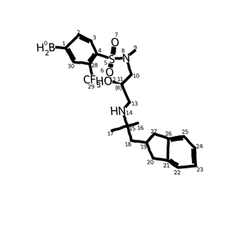 Bc1ccc(S(=O)(=O)N(C)C[C@H](O)CNC(C)(C)CC2Cc3ccccc3C2)c(C(F)(F)F)c1